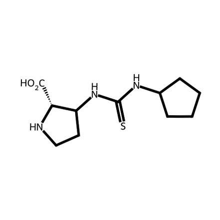 O=C(O)[C@H]1NCCC1NC(=S)NC1CCCC1